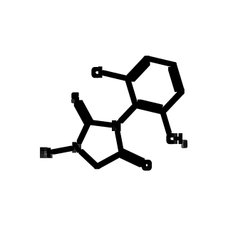 CCN1CC(=O)N(c2c(C)cccc2Cl)C1=S